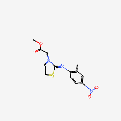 COC(=O)CN1CCS/C1=N\c1ccc([N+](=O)[O-])cc1C